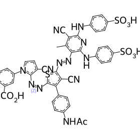 CC(=O)Nc1ccc(-c2c(/N=N\c3c(C#N)ccn3-c3cccc(C(=O)O)c3)sc(N=Nc3c(Nc4ccc(S(=O)(=O)O)cc4)nc(Nc4ccc(S(=O)(=O)O)cc4)c(C#N)c3C)c2C#N)cc1